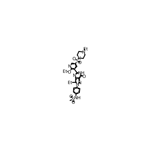 CCOc1ncc(S(=O)(=O)N2CCN(CC)CC2)cc1-c1nc2c(CC)n(-c3ccc(NS(C)(=O)=O)cc3)nc2c(=O)[nH]1